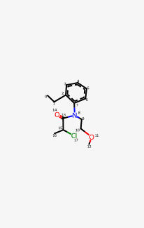 CCc1ccccc1N(CCOC)C(=O)C(C)Cl